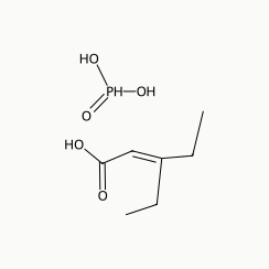 CCC(=CC(=O)O)CC.O=[PH](O)O